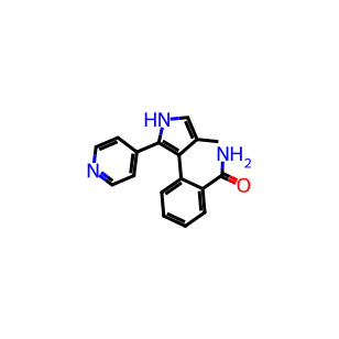 Cc1c[nH]c(-c2ccncc2)c1-c1ccccc1C(N)=O